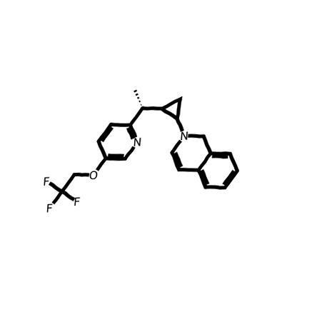 C[C@@H](c1ccc(OCC(F)(F)F)cn1)C1CC1N1C=Cc2ccccc2C1